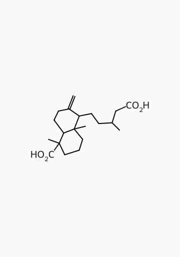 C=C1CCC2C(C)(C(=O)O)CCCC2(C)C1CCC(C)CC(=O)O